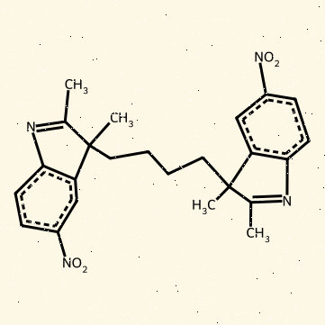 CC1=Nc2ccc([N+](=O)[O-])cc2C1(C)CCCCC1(C)C(C)=Nc2ccc([N+](=O)[O-])cc21